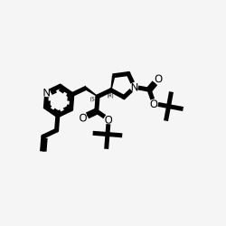 C=CCc1cncc(C[C@H](C(=O)OC(C)(C)C)[C@H]2CCN(C(=O)OC(C)(C)C)C2)c1